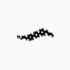 CCCc1ccc(C2CCC([C@H]3CC[C@H](C/C=C/F)CC3)CC2)cc1